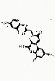 Cc1cnc(NC(=O)Cn2nc(C(C)C)c(-c3cc(F)cc(P)c3)cc2=O)c(F)c1